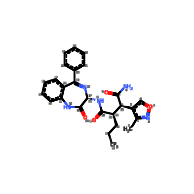 Cc1nocc1[C@H](C(N)=O)[C@@H](CCC(F)(F)F)C(=O)N[C@H]1N=C(c2ccccc2)c2ccccc2NC1=O